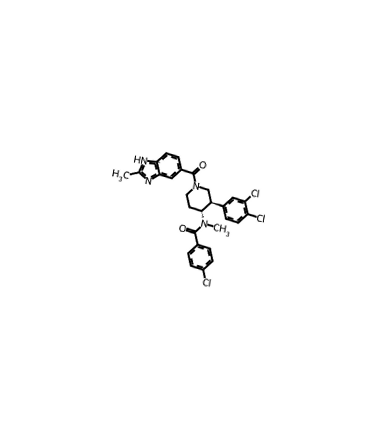 Cc1nc2cc(C(=O)N3CC[C@@H](N(C)C(=O)c4ccc(Cl)cc4)[C@H](c4ccc(Cl)c(Cl)c4)C3)ccc2[nH]1